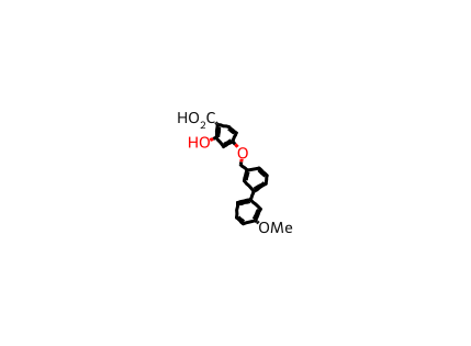 COc1cccc(-c2cccc(COc3ccc(C(=O)O)c(O)c3)c2)c1